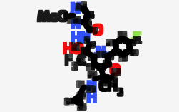 COc1nccc(C(=O)NC[C@](O)(c2cc3c(c(-c4ccc(F)cc4)n2)OC[C@]3(C)CNCC2CC2)C(F)(F)F)n1